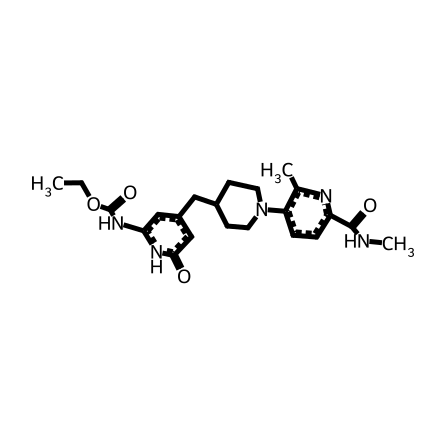 CCOC(=O)Nc1cc(CC2CCN(c3ccc(C(=O)NC)nc3C)CC2)cc(=O)[nH]1